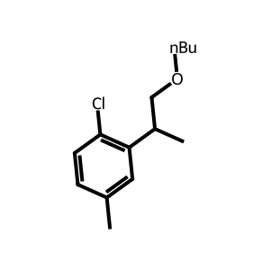 CCCCOCC(C)c1cc(C)ccc1Cl